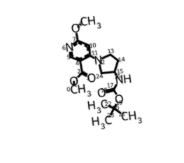 COC(=O)c1cnc(OC)cc1N1CCC(NC(=O)OC(C)(C)C)C1